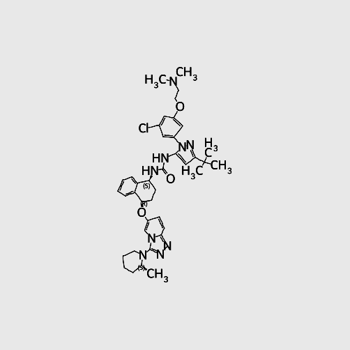 C[C@H]1CCCCN1c1nnc2ccc(O[C@@H]3CC[C@H](NC(=O)Nc4cc(C(C)(C)C)nn4-c4cc(Cl)cc(OCCN(C)C)c4)c4ccccc43)cn12